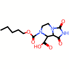 CCCCCOC(=O)N1CCN2C(=O)NC(=O)C2C1C(=O)O